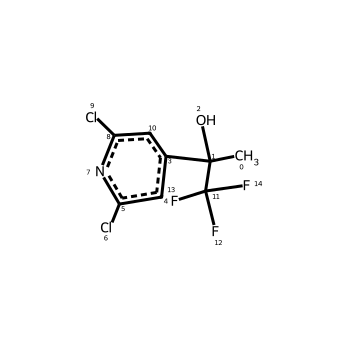 CC(O)(c1cc(Cl)nc(Cl)c1)C(F)(F)F